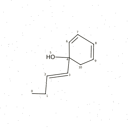 CCC=CC1(O)C=CC=CC1